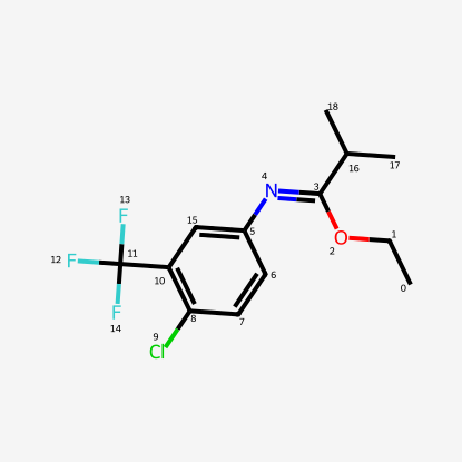 CCO/C(=N\c1ccc(Cl)c(C(F)(F)F)c1)C(C)C